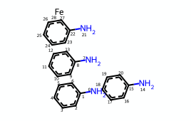 Nc1ccccc1.Nc1ccccc1.Nc1ccccc1.Nc1ccccc1.[Fe]